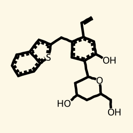 C=Cc1cc(O)c(C2CC(O)CC(CO)O2)cc1Cc1cc2ccccc2s1